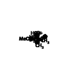 COc1ccc([C@@H]2Sc3cc(C)ccc3N(CCN(C)Cc3ccccc3)C(=O)[C@@H]2O)cc1.[O-][Cl+3]([O-])([O-])O